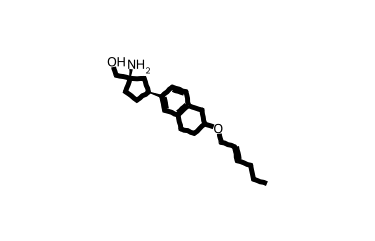 CCC/C=C/COC1CCc2cc([C@H]3CC[C@](N)(CO)C3)ccc2C1